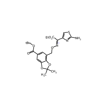 CCOC(=O)/C(=N\OCc1cc(C(=O)OC(C)(C)C)cc2c1OC(C)(C)O2)c1csc(N)n1